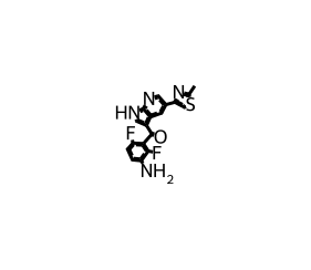 Cc1nc(-c2cnc3[nH]cc(C(=O)c4c(F)ccc(N)c4F)c3c2)cs1